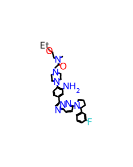 CCOCCN(C)C(=O)CN1CCN(c2ccc(-c3cnc4ccc(N5CCCC5c5cccc(F)c5)nn34)cc2N)CC1